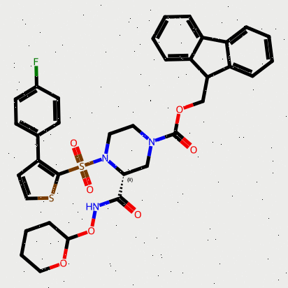 O=C(NOC1CCCCO1)[C@H]1CN(C(=O)OCC2c3ccccc3-c3ccccc32)CCN1S(=O)(=O)c1sccc1-c1ccc(F)cc1